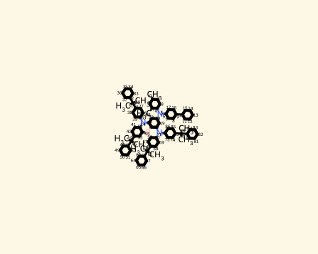 Cc1ccc(N(c2ccc(-c3ccccc3)cc2)c2cc3c4c(c2)N(c2ccc(C(C)(C)c5ccccc5)cc2)c2ccc(C(C)(C)c5ccccc5)cc2B4c2cc(C(C)(C)c4ccccc4)ccc2N3c2ccc(C(C)(C)c3ccccc3)cc2)c(C)c1